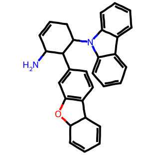 NC1C=CCC(n2c3ccccc3c3ccccc32)C1c1ccc2c(c1)OC1C=CC=CC21